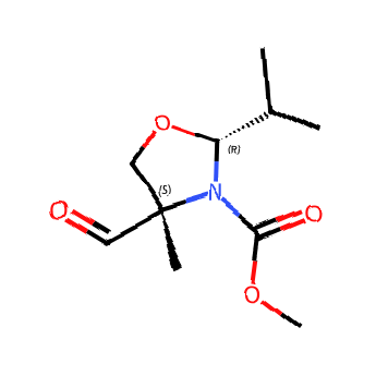 COC(=O)N1[C@@H](C(C)C)OC[C@@]1(C)C=O